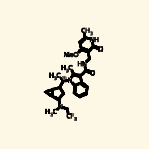 COc1cc(C)[nH]c(=O)c1CNC(=O)c1c(C)n([C@H](C)C2CC(N(C)CC(F)(F)F)C3CC32)c2ccccc12